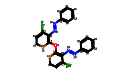 BrC1=CCSC(OC2=C(N=Nc3ccccc3)C(Br)=CCS2)=C1N=Nc1ccccc1